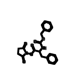 O=C(NC(Cc1ccccc1)C(=O)ON1C(=O)CCC1=O)OCc1ccccc1